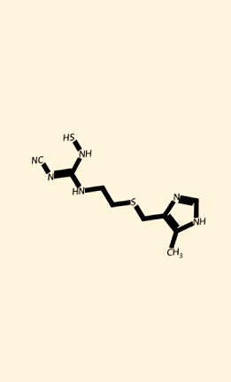 Cc1[nH]cnc1CSCCN/C(=N/C#N)NS